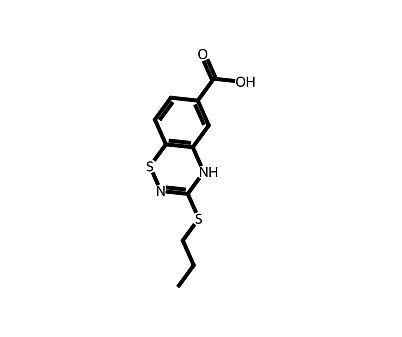 CCCSC1=NSc2ccc(C(=O)O)cc2N1